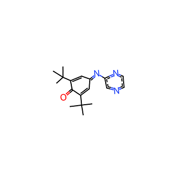 CC(C)(C)C1=CC(=Nc2cnccn2)C=C(C(C)(C)C)C1=O